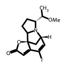 COC(C)[C@H]1CCC2N1[C@@H]1C=C(I)C3=CC(=O)O[C@@]32C1